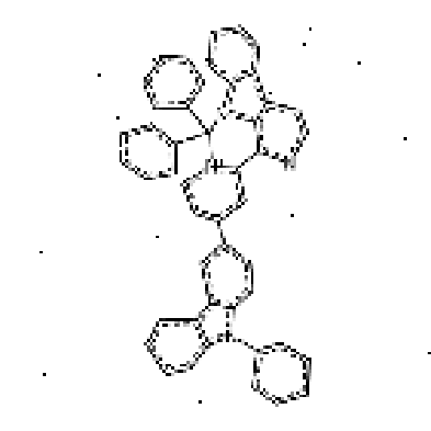 c1ccc(-n2c3ccccc3c3cc(-c4cc[n+]5c(c4)-c4nccc6c7ccccc7n(c46)C5(c4ccccc4)c4ccccc4)ccc32)cc1